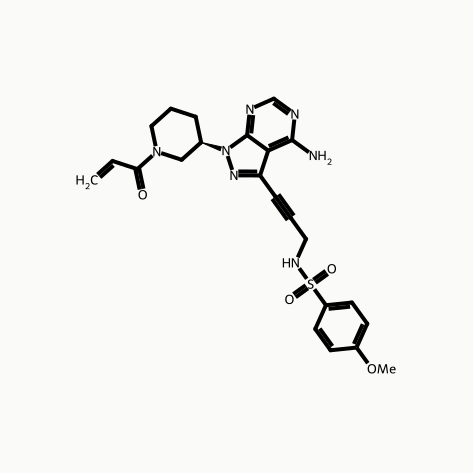 C=CC(=O)N1CCC[C@@H](n2nc(C#CCNS(=O)(=O)c3ccc(OC)cc3)c3c(N)ncnc32)C1